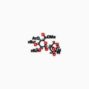 CCCCOC1[C@H](OC(C)=O)C(C(=O)OC)O[C@@H](O[C@@H]2C3CO[C@H](O3)[C@@H]3OC23)[C@H]1OCCCC